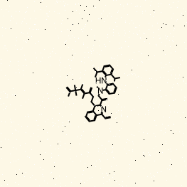 C=CC1=NC(C(=C)CN(C)c2ccccc2Nc2c(C(C)C)cccc2C(C)C)C(CCC(=C)/C(C)=C(\C)C(C)(C)C(=C)C)c2ccccc21